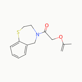 C=C(C)OCC(=O)N1CCSc2ccccc2C1